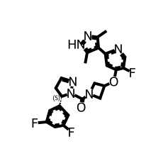 Cc1n[nH]c(C)c1-c1cc(OC2CN(C(=O)N3N=CC[C@H]3c3cc(F)cc(F)c3)C2)c(F)cn1